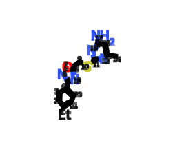 CCc1ccc(-c2noc(CSc3nc(C)cc(N)n3)n2)cc1